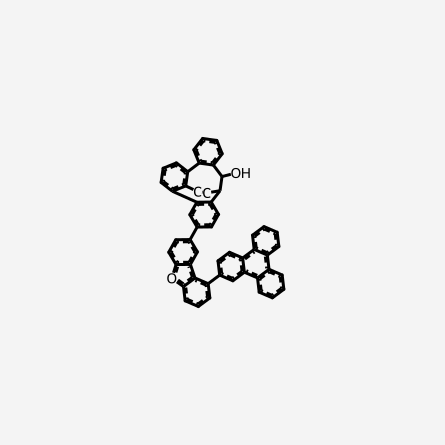 OC1c2ccccc2-c2cccc3c2CCC1c1ccc(-c2ccc4oc5cccc(-c6ccc7c8ccccc8c8ccccc8c7c6)c5c4c2)cc1-3